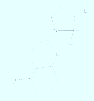 CCC1CCN(c2ccc3c(C(=O)O)cccc3n2)C1(C)N